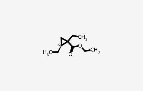 CCOC(=O)C1(CC)C[C@@H]1CC